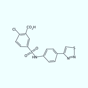 O=C(O)c1cc(S(=O)(=O)Nc2ccc(-c3csnn3)cc2)ccc1Cl